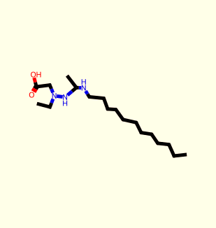 CCCCCCCCCCCCNC(C)NN(CC)CC(=O)O